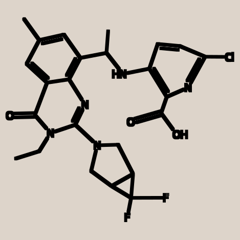 CCn1c(N2CC3C(C2)C3(F)F)nc2c(C(C)Nc3ccc(Cl)nc3C(=O)O)cc(C)cc2c1=O